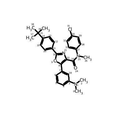 CN(C)c1cccc(-c2oc(-c3ccc(C(C)(C)C)cc3)nc2C(=O)N(C)c2ccc(Cl)cc2)c1